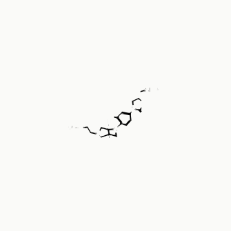 COCCN1C[C@H]2CN(c3ccc(N4C[C@H](CNC(C)=O)OC4=O)cc3F)[C@H]2C1